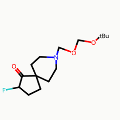 CC(C)(C)OCOCN1CCC2(CCC(F)C2=O)CC1